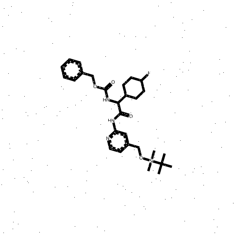 CC(C)(C)[Si](C)(C)OCc1ccnc(NC(=O)C(NC(=O)OCc2ccccc2)C2CCC(F)CC2)c1